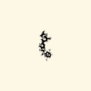 Cc1cn2cc(-c3cc4sc(N(C)[C@@H]5C[C@]6(C)CC[C@](C)(C5)N6)nc4cn3)cc(F)c2n1